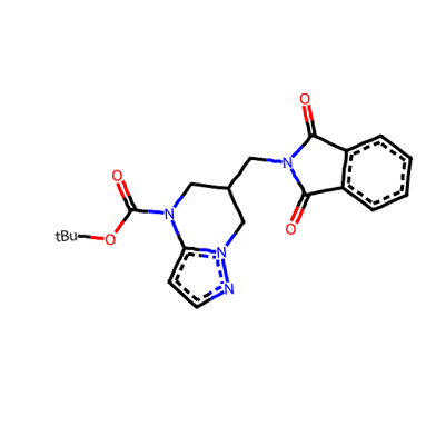 CC(C)(C)OC(=O)N1CC(CN2C(=O)c3ccccc3C2=O)Cn2nccc21